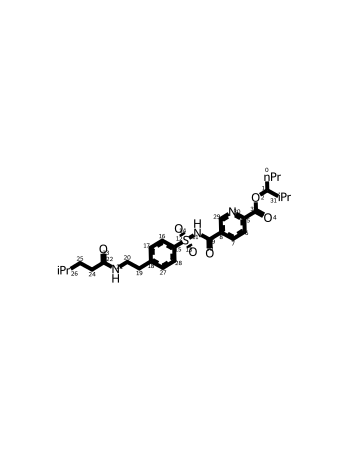 CCCC(OC(=O)c1ccc(C(=O)NS(=O)(=O)c2ccc(CCNC(=O)CCC(C)C)cc2)cn1)C(C)C